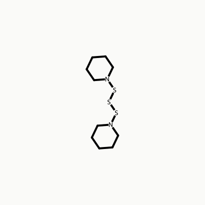 C1CCN(SSSN2CCCCC2)CC1